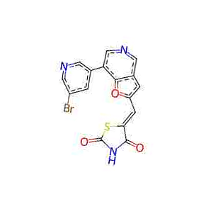 O=C1NC(=O)C(=Cc2cc3cncc(-c4cncc(Br)c4)c3o2)S1